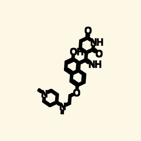 CN1CCC(N(C)CCOc2ccc3c(C(=N)C4CCC(=O)NC4=O)c(O)ccc3c2)CC1